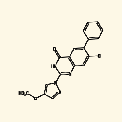 O=C(O)Oc1cnn(-c2nc3cc(Cl)c(-c4ccccc4)cc3c(=O)[nH]2)c1